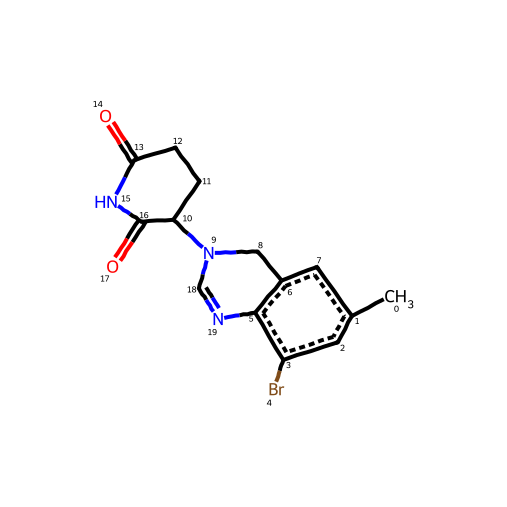 Cc1cc(Br)c2c(c1)CN(C1CCC(=O)NC1=O)C=N2